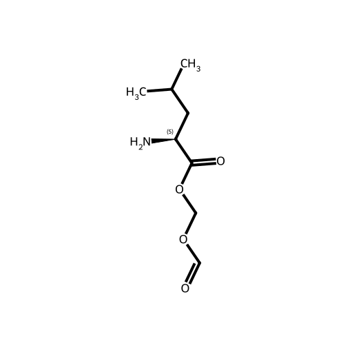 CC(C)C[C@H](N)C(=O)OCOC=O